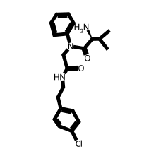 CC(C)[C@H](N)C(=O)N(CC(=O)NCCc1ccc(Cl)cc1)c1ccccc1